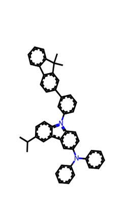 CC(C)c1ccc2c(c1)c1cc(N(c3ccccc3)c3ccccc3)ccc1n2-c1cccc(-c2ccc3c(c2)C(C)(C)c2ccccc2-3)c1